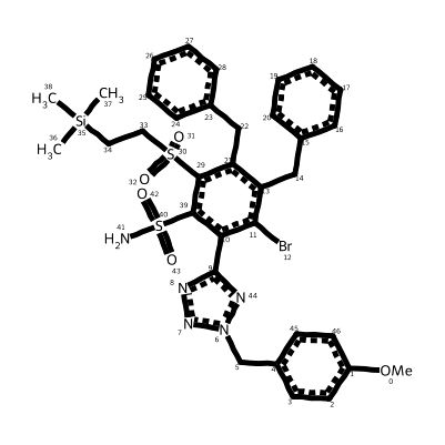 COc1ccc(Cn2nnc(-c3c(Br)c(Cc4ccccc4)c(Cc4ccccc4)c(S(=O)(=O)CC[Si](C)(C)C)c3S(N)(=O)=O)n2)cc1